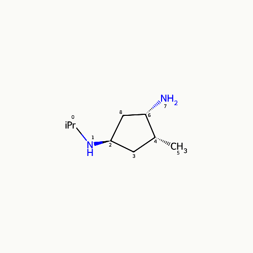 CC(C)N[C@@H]1C[C@@H](C)[C@@H](N)C1